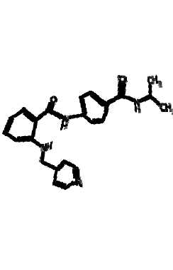 CC(C)NC(=O)c1ccc(NC(=O)c2ccccc2NCc2ccncc2)cc1